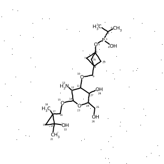 CC(C)P(O)OC12CC(COC3C(N)C(OCC4(C)CC4(C)O)OC(CO)C3O)(C1)C2